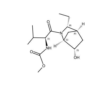 CC[C@@H]1[C@H]2C[C@H](O)[C@H](C2)N1C(=O)[C@@H](NC(=O)OC)C(C)C